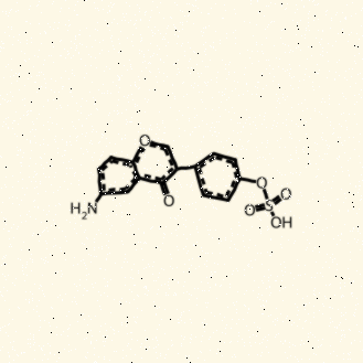 Nc1ccc2occ(-c3ccc(OS(=O)(=O)O)cc3)c(=O)c2c1